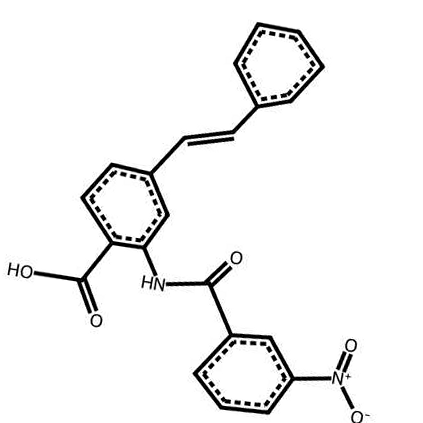 O=C(Nc1cc(C=Cc2ccccc2)ccc1C(=O)O)c1cccc([N+](=O)[O-])c1